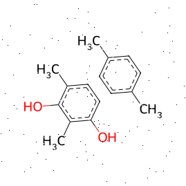 Cc1ccc(C)cc1.Cc1ccc(O)c(C)c1O